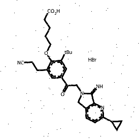 Br.CC(C)(C)c1cc(C(=O)CN2Cc3ccc(C4CC4)nc3C2=N)cc(CCC#N)c1OCCCCC(=O)O